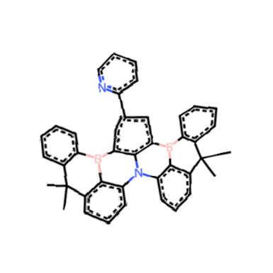 CC1(C)c2ccccc2B2c3cc(-c4ccccn4)cc4c3N(c3cccc1c32)c1cccc2c1B4c1ccccc1C2(C)C